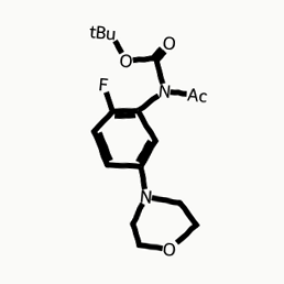 CC(=O)N(C(=O)OC(C)(C)C)c1cc(N2CCOCC2)ccc1F